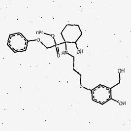 CCCOP(=O)(COc1ccccc1)C1(NCCCOc2ccc(O)c(CO)c2)CCCCC1O